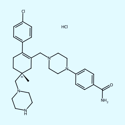 C[C@@]1(CN2CCNCC2)CCC(c2ccc(Cl)cc2)=C(CN2CCN(c3ccc(C(N)=O)cc3)CC2)C1.Cl